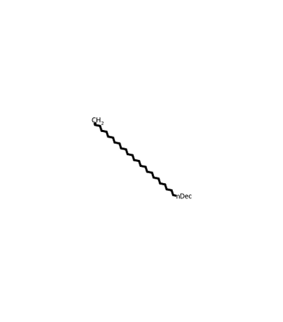 C=CCCCCCCCCCCCCCCCCCCCCCCCCCCCCCCCCCC